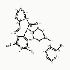 CCc1cc(C2(N3CCN(Cc4ccccc4CC)CC3)C(=O)c3ccccc3C2=O)cc(CC)n1